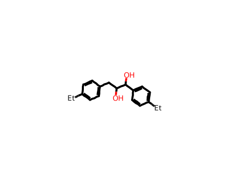 CCc1ccc(CC(O)C(O)c2ccc(CC)cc2)cc1